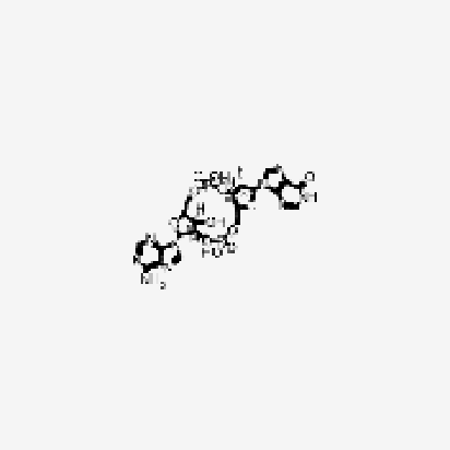 Nc1ncnc2c1ncn2C1OC2COP(=O)(O)O[C@@H]3C(COP(=O)(O)O[C@@H]1[C@@H]2O)OC(n1cnc2c(=O)[nH]cnc21)[C@@H]3F